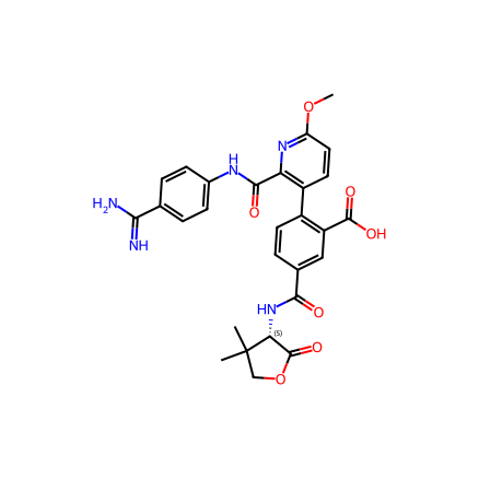 COc1ccc(-c2ccc(C(=O)N[C@@H]3C(=O)OCC3(C)C)cc2C(=O)O)c(C(=O)Nc2ccc(C(=N)N)cc2)n1